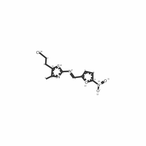 Cc1nc(N=Cc2ccc([N+](=O)[O-])o2)sc1CCCl